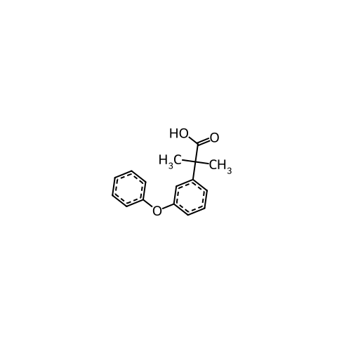 CC(C)(C(=O)O)c1cccc(Oc2ccccc2)c1